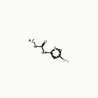 CNC(=O)Nc1cc(C)no1